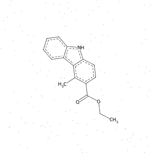 CCOC(=O)c1ccc2[nH]c3ccccc3c2c1C